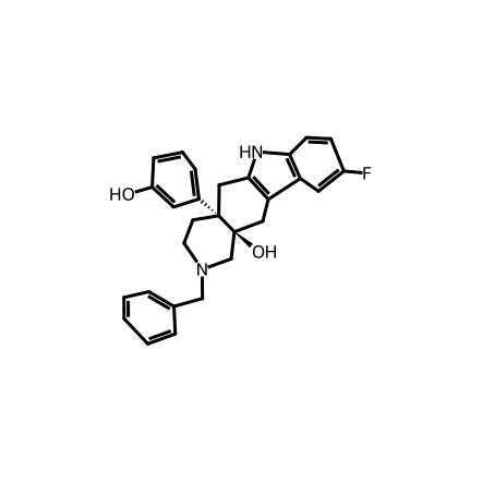 Oc1cccc([C@@]23CCN(Cc4ccccc4)C[C@@]2(O)Cc2c([nH]c4ccc(F)cc24)C3)c1